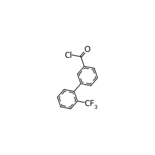 O=C(Cl)c1cccc(-c2ccccc2C(F)(F)F)c1